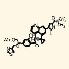 COC[C@H](OCc1cscn1)c1ccc(C(=O)NC2(c3cc(-c4cc(C(=O)N(C)C)n[nH]4)cc4ncccc34)CC2)c(C)c1